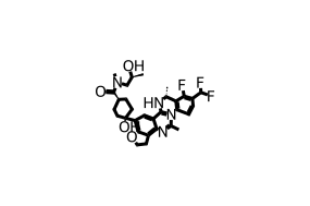 Cc1nc(N[C@H](C)c2cccc(C(F)F)c2F)c2cc([C@]3(O)CC[C@H](C(=O)N(C)C[C@H](C)O)CC3)c3c(c2n1)CCO3